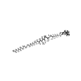 CCO[Si](CCCCCCCCCCCCCCCCCCCCCCCCCCCCCCCCCCCCCI)(OCC)OCC